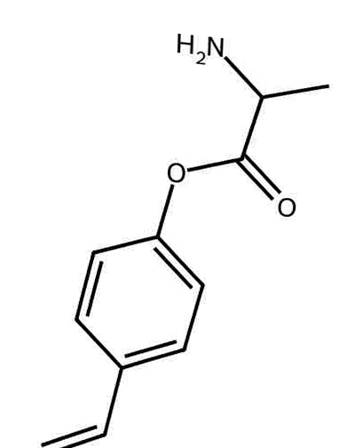 C=Cc1ccc(OC(=O)C(C)N)cc1